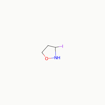 IC1CCON1